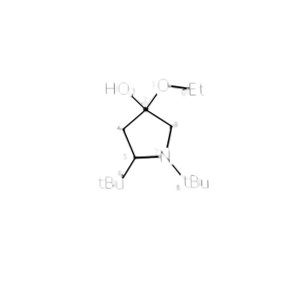 CCOC1(O)CC(C(C)(C)C)N(C(C)(C)C)C1